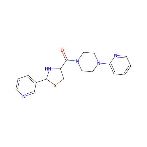 O=C(C1CSC(c2cccnc2)N1)N1CCN(c2ccccn2)CC1